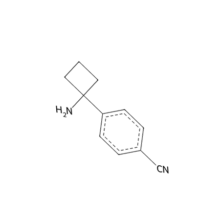 N#Cc1ccc(C2(N)CCC2)cc1